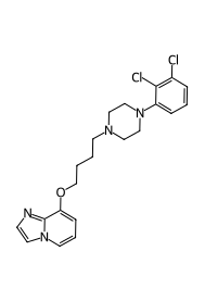 Clc1cccc(N2CCN(CCCCOc3cccn4ccnc34)CC2)c1Cl